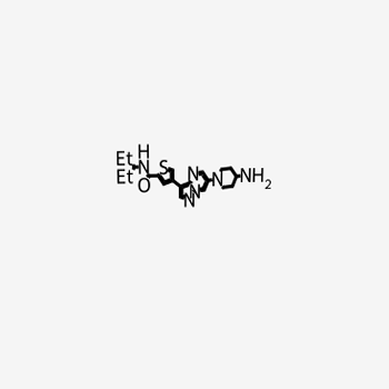 CCC(CC)NC(=O)c1cc(-c2cnn3cc(N4CCC(N)CC4)cnc23)cs1